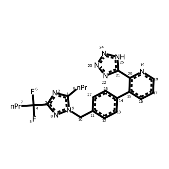 CCCc1nc(C(F)(F)CCC)nn1Cc1ccc(-c2cccnc2-c2nnn[nH]2)cc1